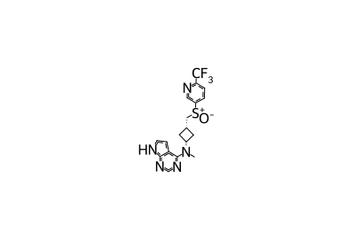 CN(c1ncnc2[nH]ccc12)[C@H]1C[C@@H](C[S+]([O-])c2ccc(C(F)(F)F)nc2)C1